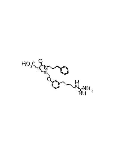 N=C(N)NCCCCc1cccc(OC[C@@H]2C[C@@H](CC(=O)O)C(=O)N2CCCc2ccccc2)c1